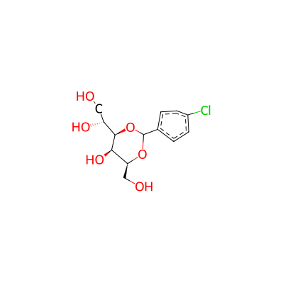 OC[C@@H](O)[C@H]1OC(c2ccc(Cl)cc2)O[C@@H](CO)[C@H]1O